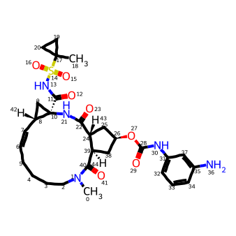 CN1CCCC/C=C\[C@@H]2C[C@@]2(C(=O)NS(=O)(=O)C2(C)CC2)NC(=O)[C@@H]2C[C@@H](OC(=O)Nc3cccc(N)c3)C[C@H]2C1=O